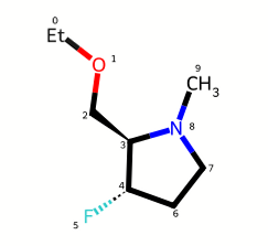 CCOC[C@@H]1[C@@H](F)CCN1C